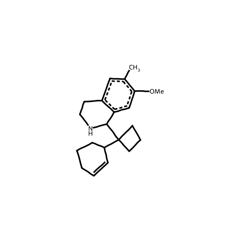 COc1cc2c(cc1C)CCNC2C1(C2C=CCCC2)CCC1